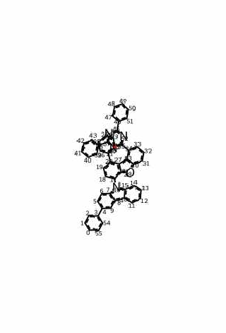 c1ccc(-c2ccc3c(c2)c2ccccc2n3-c2ccc(-c3ccccc3)c3c2oc2cccc(-c4nc(-c5ccccc5)nc(-c5ccccc5)n4)c23)cc1